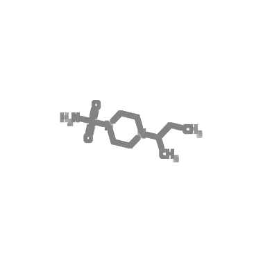 CCC(C)N1CCN(S(N)(=O)=O)CC1